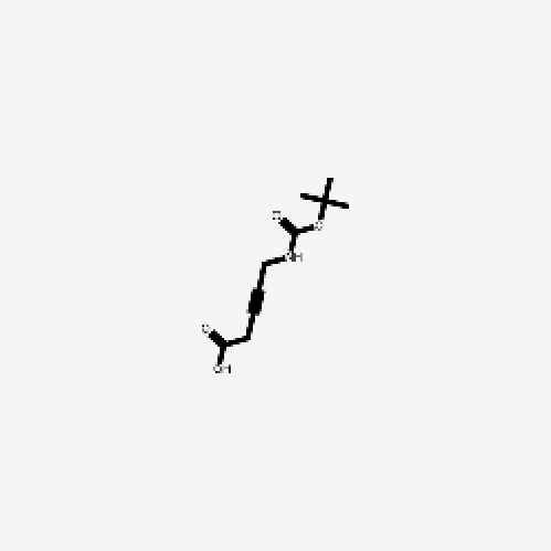 CC(C)(C)OC(=O)NCC#CCC(=O)O